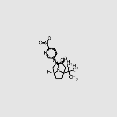 CC(C)(C)C12CC[C@@H](CN(c3ccc([N+](=O)[O-])nc3)C(=O)C1)N2C(=O)O